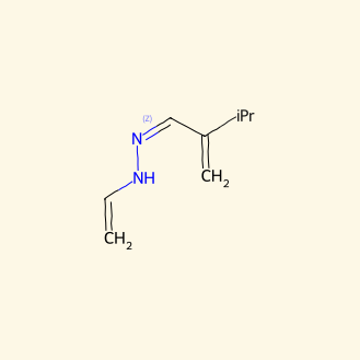 C=CN/N=C\C(=C)C(C)C